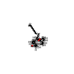 CC(=O)OC[C@H]1OC(OC[C@H]2OC(O[C@]3(COC(C)=O)O[C@H](CO)[C@@H](O)[C@@H]3O)[C@H](O)[C@@H](O)[C@@H]2O)[C@H](O)[C@@H](O)[C@H]1O.CCCCCCCCCCCC(=O)[O-].OC[C@H]1O[C@@](CO)(O[C@H]2O[C@H](CO)[C@@H](O)[C@H](O)[C@H]2O)[C@@H](O)[C@@H]1O.[K+].[KH]